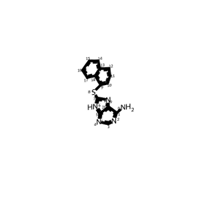 Nc1ncnc2[nH]c(Sc3cccc4ccccc34)nc12